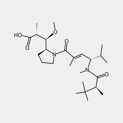 CO[C@H]([C@@H](C)C(=O)O)[C@@H]1CCCN1C(=O)/C(C)=C/[C@H](C(C)C)N(C)C(=O)[C@@H](C)C(C)(C)C